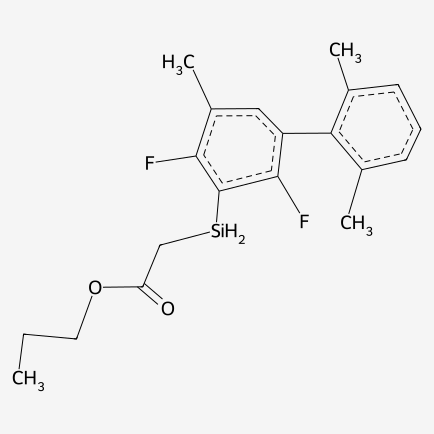 CCCOC(=O)C[SiH2]c1c(F)c(C)cc(-c2c(C)cccc2C)c1F